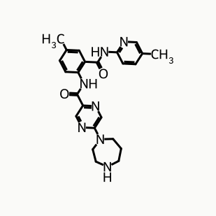 Cc1ccc(NC(=O)c2cc(C)ccc2NC(=O)c2cnc(N3CCCNCC3)cn2)nc1